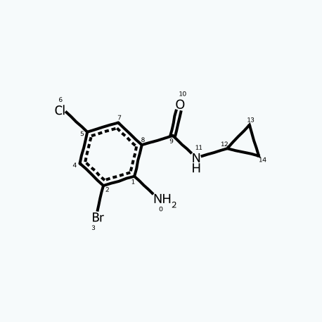 Nc1c(Br)cc(Cl)cc1C(=O)NC1CC1